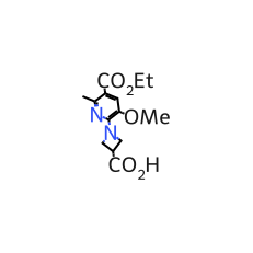 CCOC(=O)c1cc(OC)c(N2CC(C(=O)O)C2)nc1C